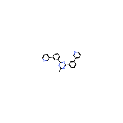 Cc1nc(-c2cccc(-c3cccnc3)c2)nc(-c2cccc(-c3cccnc3)c2)n1